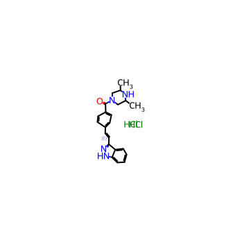 CC1CN(C(=O)c2ccc(/C=C/c3n[nH]c4ccccc34)cc2)CC(C)N1.Cl.Cl